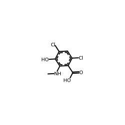 CNc1c(O)c(Cl)cc(Cl)c1C(=O)O